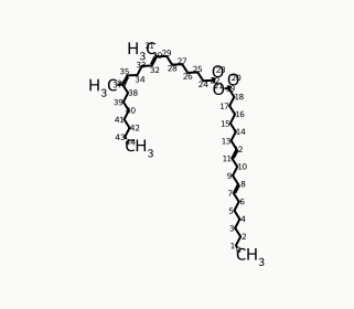 CCCCCCCC=CCCC=CCCCCCCC(=O)OC(=O)CCCCCCC(C)=CCCC=C(C)CCCCCCC